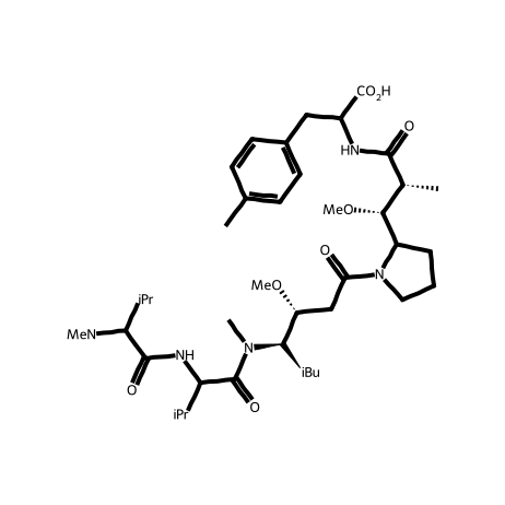 CC[C@H](C)[C@H]([C@@H](CC(=O)N1CCCC1[C@H](OC)[C@@H](C)C(=O)NC(Cc1ccc(C)cc1)C(=O)O)OC)N(C)C(=O)C(NC(=O)C(NC)C(C)C)C(C)C